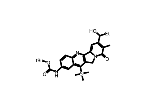 CCC(O)c1cc2n(c(=O)c1C)Cc1c-2nc2ccc(NC(=O)OC(C)(C)C)cc2c1[Si](C)(C)C